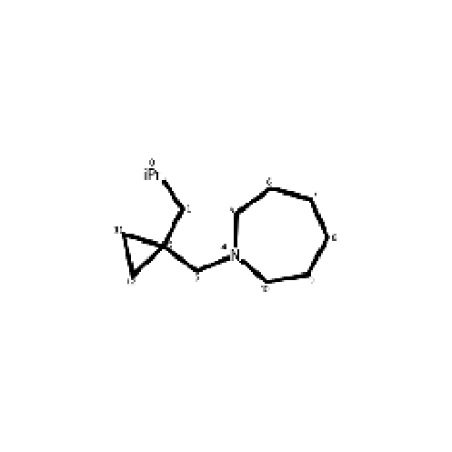 CC(C)CC1(CN2CCCCCC2)CC1